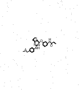 C=CC(=O)Nc1cccc(Oc2nc(Nc3ccc(CN(C)C)cc3)nc3ccsc23)c1